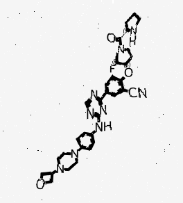 N#Cc1cc(-c2ncnc(Nc3ccc(N4CCN(C5COC5)CC4)cc3)n2)ccc1O[C@H]1CCN(C(=O)[C@@H]2CCCN2)C[C@H]1F